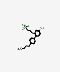 CCCCc1ccc(-c2ccc(O)cc2CCC[Si](Cl)(Cl)Cl)cc1